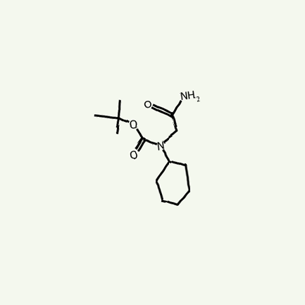 CC(C)(C)OC(=O)N(CC(N)=O)C1CCCCC1